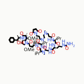 CC[C@H](C)[C@@H]([C@@H](CC(=O)N1CCC[C@H]1[C@H](OC)[C@@H](C)C(=O)N[C@H](C)[C@@H](O)c1ccccc1)OC)N(C)C(=O)[C@@H](NC(=O)[C@H](C(C)C)N(C)C(=O)CNC(=O)[C@H](CCCNC(N)=O)NC(=O)[C@@H](NC(=O)CCN(C)CCN(C)CCCN1C(=O)C=CC1=O)C(C)C)C(C)C